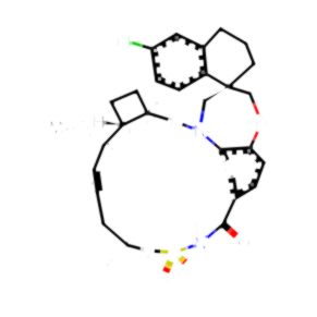 CO[C@H]1/C=C/C[C@@H](C)CS(=O)(=O)NC(=O)c2ccc3c(c2)N(C[C@@H]2CC[C@H]21)C[C@@]1(CCCc2cc(Cl)ccc21)CO3